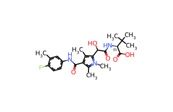 Cc1cc(NC(=O)c2c(C)c(C(O)C(=O)N[C@H](C(=O)O)C(C)(C)C)n(C)c2C)ccc1F